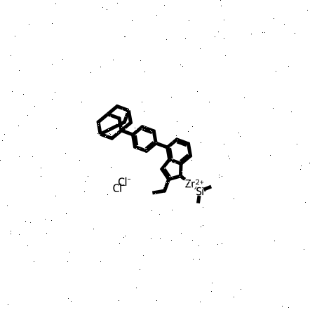 CCC1=Cc2c(-c3ccc(C45CC6CC(CC(C6)C4)C5)cc3)cccc2[CH]1[Zr+2][Si](C)C.[Cl-].[Cl-]